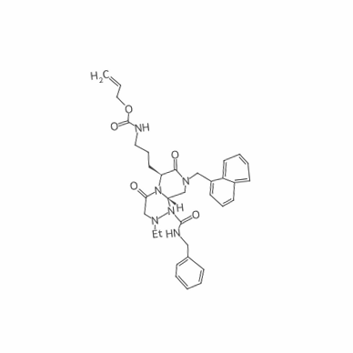 C=CCOC(=O)NCCC[C@H]1C(=O)N(Cc2cccc3ccccc23)C[C@H]2N1C(=O)CN(CC)N2C(=O)NCc1ccccc1